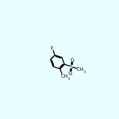 Cc1ccc(F)cc1S(C)(=O)=O